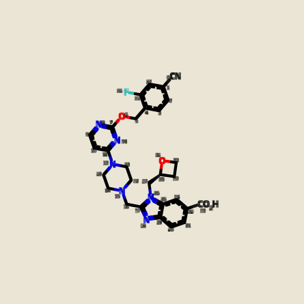 N#Cc1ccc(COc2nccc(N3CCN(Cc4nc5ccc(C(=O)O)cc5n4C[C@@H]4CCO4)CC3)n2)c(F)c1